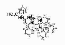 O=C(O)C1C2CCC(CC2)C1Nc1cc(-c2ccccc2-c2nn(C(c3ccccc3)(c3ccccc3)c3ccccc3)c3ncc(Cl)cc23)ncn1